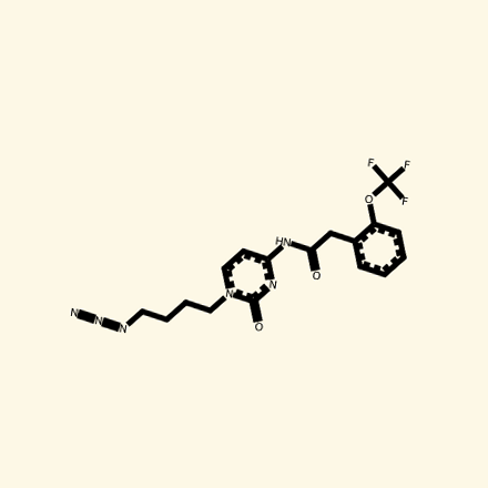 [N-]=[N+]=NCCCCn1ccc(NC(=O)Cc2ccccc2OC(F)(F)F)nc1=O